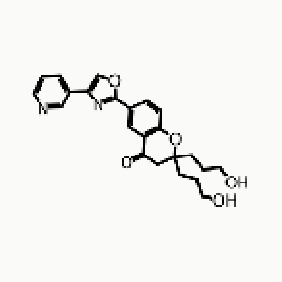 O=C1CC(CCCO)(CCCO)Oc2ccc(-c3nc(-c4cccnc4)co3)cc21